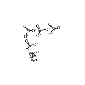 O=[Si]([O-])[O-].O=[Si]([O-])[O-].O=[Si]([O-])[O-].O=[Si]([O-])[O-].[Al+3].[Fe+3].[Mg+2]